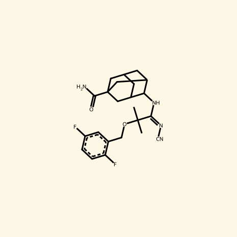 CC(C)(OCc1cc(F)ccc1F)/C(=N\C#N)NC1C2CC3CC1CC(C(N)=O)(C3)C2